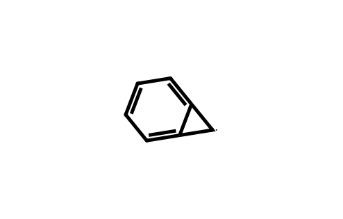 [CH]1c2ccccc21